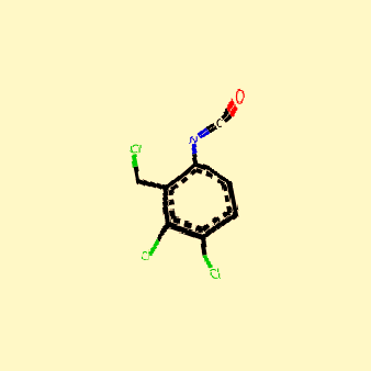 O=C=Nc1ccc(Cl)c(Cl)c1CCl